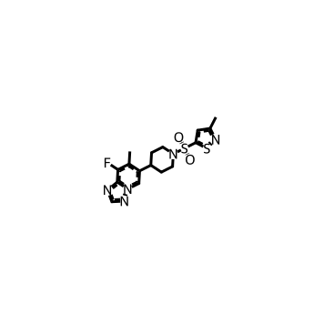 Cc1cc(S(=O)(=O)N2CCC(c3cn4ncnc4c(F)c3C)CC2)sn1